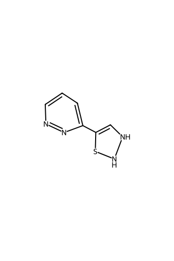 C1=C(c2cccnn2)SNN1